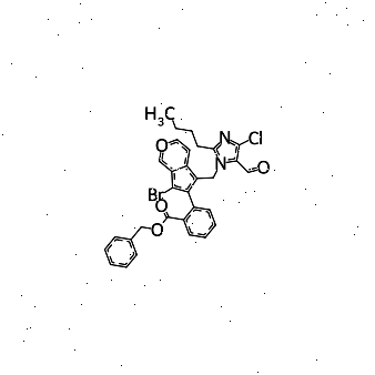 CCCCc1nc(Cl)c(C=O)n1Cc1c2ccocc-2c(Br)c1-c1ccccc1C(=O)OCc1ccccc1